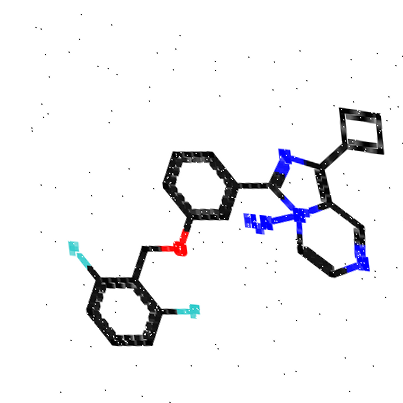 N[N+]12C=CN=CC1=C(C1=CC=C1)N=C2c1cccc(OCc2c(F)cccc2F)c1